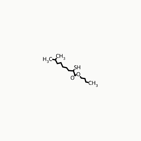 CCCCOC(=O)C(S)CCCCCC(C)C